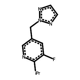 CC(C)c1ncc(Cn2nccn2)cc1F